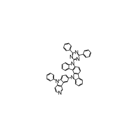 c1ccc(-c2nc(-c3ccccc3)nc(-n3c4ccccc4c4c3ccc3c5ccccc5n(-c5ccc6c(c5)c5cnccc5n6-c5ccccc5)c34)n2)cc1